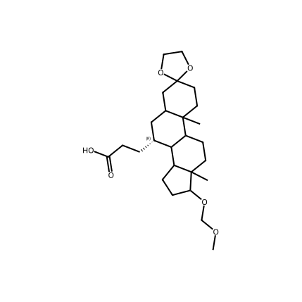 COCOC1CCC2C3C(CCC12C)C1(C)CCC2(CC1C[C@H]3CCC(=O)O)OCCO2